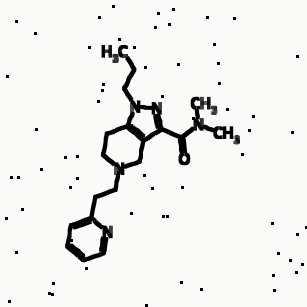 CCCn1nc(C(=O)N(C)C)c2c1CCN(CCc1ccccn1)C2